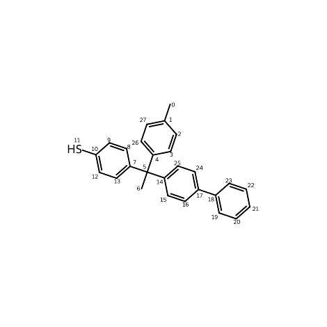 Cc1ccc(C(C)(c2ccc(S)cc2)c2ccc(-c3ccccc3)cc2)cc1